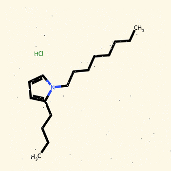 CCCCCCCCn1cccc1CCCC.Cl